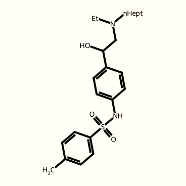 CCCCCCCN(CC)CC(O)c1ccc(NS(=O)(=O)c2ccc(C)cc2)cc1